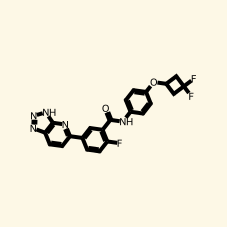 O=C(Nc1ccc(OC2CC(F)(F)C2)cc1)c1cc(-c2ccc3nn[nH]c3n2)ccc1F